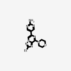 CCc1nc2c(N3CCOCC3)nc(-c3cnc(N)nc3)cn2n1